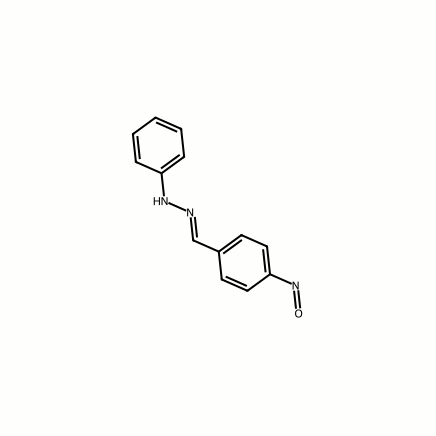 O=Nc1ccc(/C=N/Nc2ccccc2)cc1